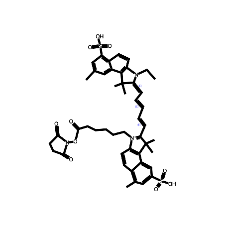 CCN1/C(=C/C=C/C=C/C2=[N+](CCCCCC(=O)ON3C(=O)CCC3=O)c3ccc4c(C)cc(S(=O)(=O)O)cc4c3C2(C)C)C(C)(C)c2c1ccc1c(S(=O)(=O)O)cc(C)cc21